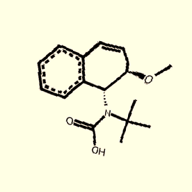 CO[C@@H]1C=Cc2ccccc2[C@H]1N(C(=O)O)C(C)(C)C